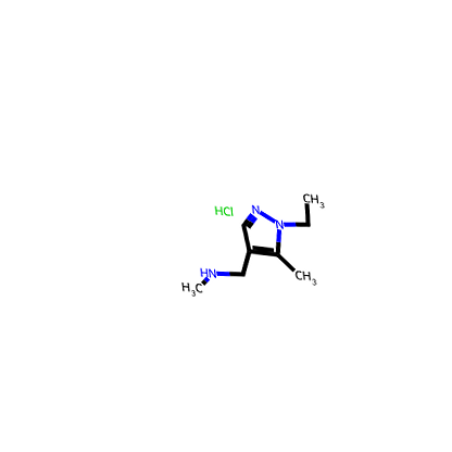 CCn1ncc(CNC)c1C.Cl